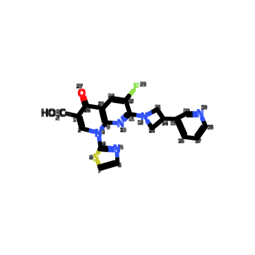 O=C(O)c1cn(-c2nccs2)c2nc(N3CC(c4cccnc4)C3)c(F)cc2c1=O